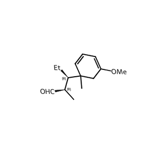 CC[C@H]([C@@H](C)C=O)C1(C)C=CC=C(OC)C1